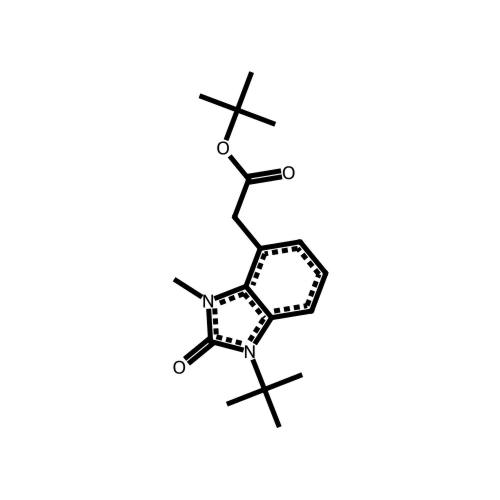 Cn1c(=O)n(C(C)(C)C)c2cccc(CC(=O)OC(C)(C)C)c21